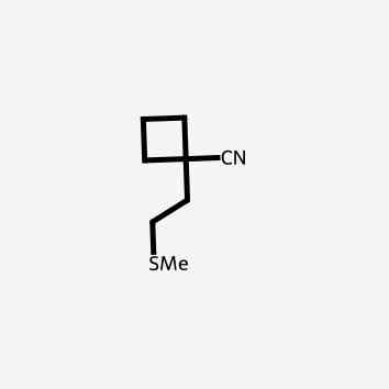 CSCCC1(C#N)CCC1